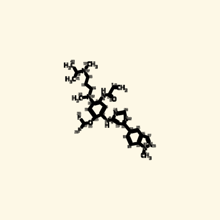 C=CC(=O)Nc1cc(Nc2cc(-c3ccc4c(cnn4C)c3)ncn2)c(OC(F)F)cc1N(C)CCCN(C)C(C)C